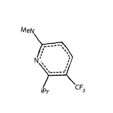 CNc1ccc(C(F)(F)F)c(C(C)C)n1